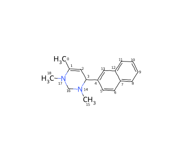 CC1=CC(c2ccc3ccccc3c2)N(C)CN1C